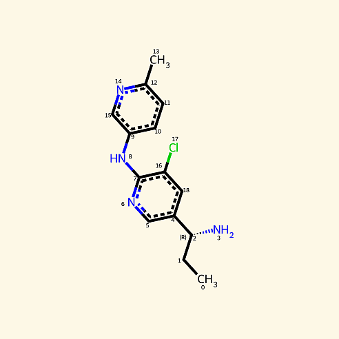 CC[C@@H](N)c1cnc(Nc2ccc(C)nc2)c(Cl)c1